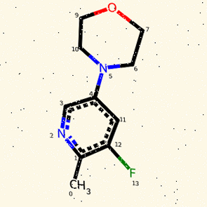 Cc1ncc(N2CCOCC2)cc1F